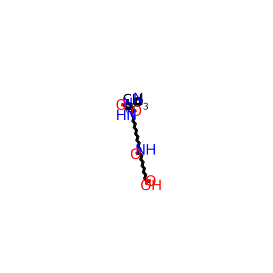 CN1C(=O)C[C@H](C(=O)NCCCCCCCCCCNC(=O)CCCCCCCCC(=O)O)[C@H]1c1cccnc1